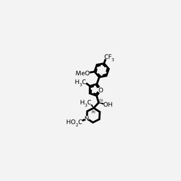 COc1cc(C(F)(F)F)ccc1-c1oc([C@@H](O)[C@]2(C)CCCN(C(=O)O)C2)cc1C